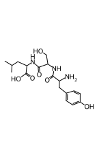 CC(C)CC(NC(=O)C(CO)NC(=O)C(N)Cc1ccc(O)cc1)C(=O)O